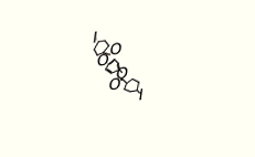 O=C[C@]1(Oc2ccc(OC(=O)C3CCC(I)CC3)cc2)CC[C@H](I)CC1